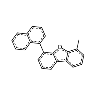 Cc1cccc2c1oc1c(-c3cccc4ccccc34)cccc12